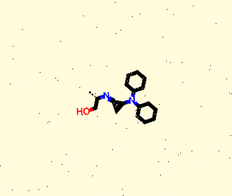 C[C@@H](CO)/N=c1\cc1N(C1CCCCC1)C1CCCCC1